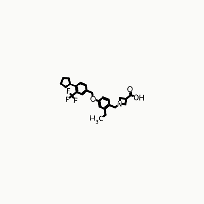 CCc1cc(OCc2ccc(C3CCCC3)c(C(F)(F)F)c2)ccc1CN1CC(C(=O)O)C1